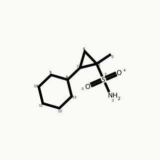 CC1(S(N)(=O)=O)CC1C1CCCCC1